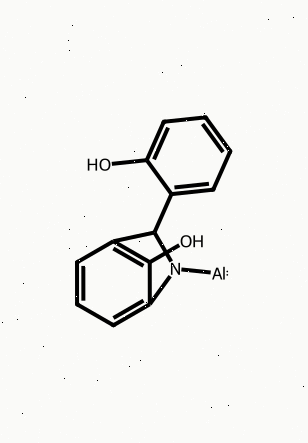 Oc1ccccc1C1c2cccc(c2O)[N]1[Al]